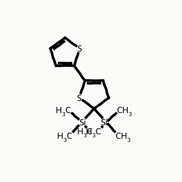 C[Si](C)(C)C1([Si](C)(C)C)CC=C(c2cccs2)S1